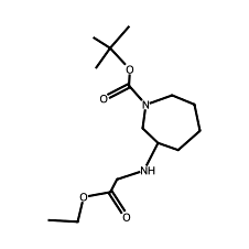 CCOC(=O)CNC1CCCCN(C(=O)OC(C)(C)C)C1